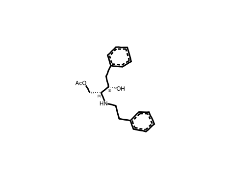 CC(=O)OC[C@@H](NCCc1ccccc1)[C@@H](O)Cc1ccccc1